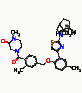 Cc1ccc(OCc2ccc(C(=O)N3CCN(C)C(=O)C3)c(C)c2)c(-c2csc(N3CC4CC[C@H](C3)[C@@H]4C(=O)O)n2)c1